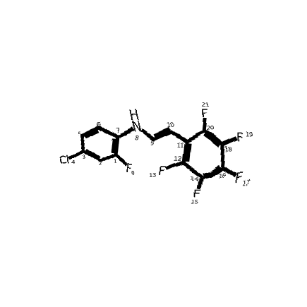 Fc1cc(Cl)ccc1NC=Cc1c(F)c(F)c(F)c(F)c1F